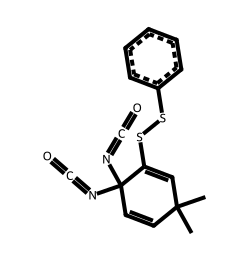 CC1(C)C=CC(N=C=O)(N=C=O)C(SSc2ccccc2)=C1